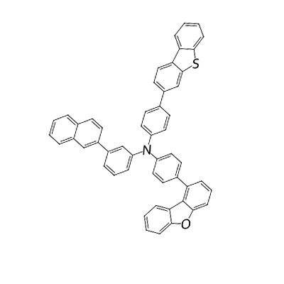 c1cc(-c2ccc3ccccc3c2)cc(N(c2ccc(-c3ccc4c(c3)sc3ccccc34)cc2)c2ccc(-c3cccc4oc5ccccc5c34)cc2)c1